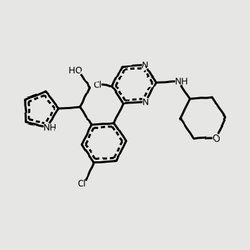 OCC(c1ccc[nH]1)c1cc(Cl)ccc1-c1nc(NC2CCOCC2)ncc1Cl